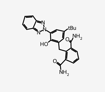 CC(C)(C)c1cc(Cc2c(C(N)=O)cccc2C(N)=O)c(O)c(-n2nc3ccccc3n2)c1